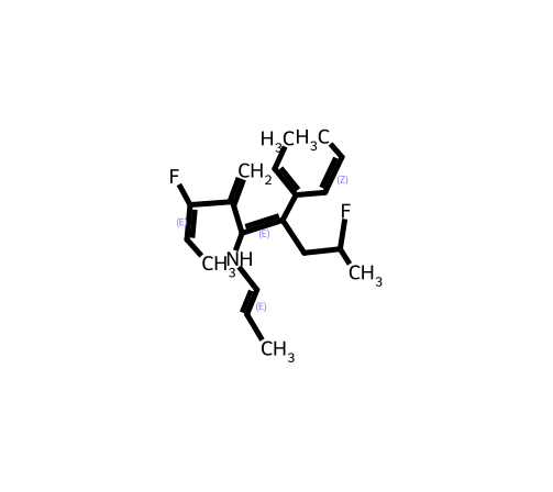 C=C(/C(F)=C\C)/C(N/C=C/C)=C(/CC(C)F)C(=CC)/C=C\C